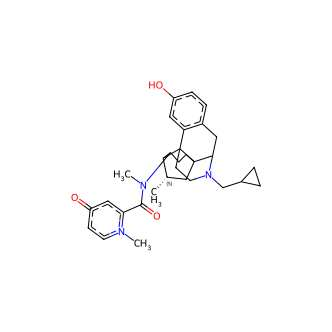 C[C@H]1CC23CCC(N(C)C(=O)c4cc(=O)ccn4C)C1C21CCN(CC2CC2)C3Cc2ccc(O)cc21